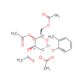 CC(=O)OC[C@H]1O[C@H](Oc2ccccc2C)[C@H](OC(C)=O)[C@@H](OC(C)=O)[C@H]1OC(C)=O